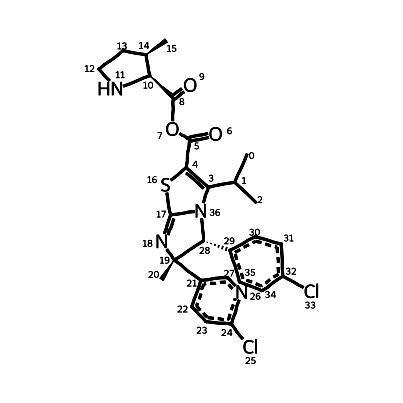 CC(C)C1=C(C(=O)OC(=O)[C@H]2NCC[C@H]2C)SC2=N[C@@](C)(c3ccc(Cl)nc3)[C@@H](c3ccc(Cl)cc3)N21